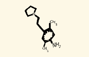 Cc1cc(CCN2CCCC2)c(C)cc1N